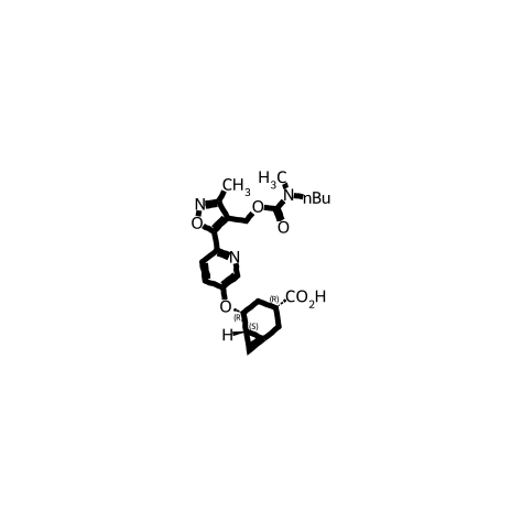 CCCCN(C)C(=O)OCc1c(C)noc1-c1ccc(O[C@@H]2C[C@H](C(=O)O)CC3=C[C@@H]32)cn1